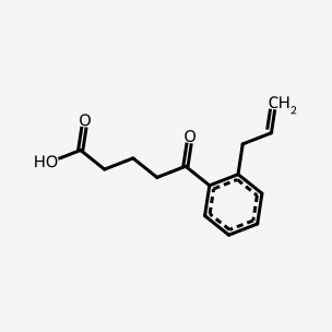 C=CCc1ccccc1C(=O)CCCC(=O)O